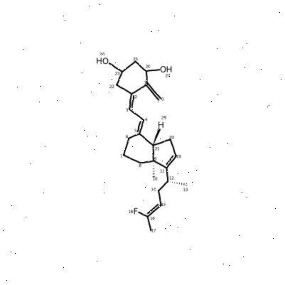 C=C1/C(=C\C=C2/CCC[C@]3(C)C([C@H](C)C/C=C(/C)F)=CC[C@@H]23)CC(O)CC1O